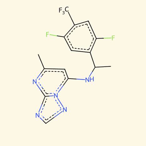 Cc1cc(NC(C)c2cc(F)c(C(F)(F)F)cc2F)n2ncnc2n1